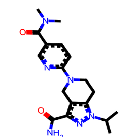 CC(C)n1nc(C(N)=O)c2c1CCN(c1ccc(C(=O)N(C)C)cn1)C2